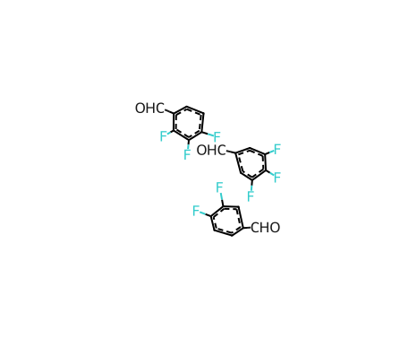 O=Cc1cc(F)c(F)c(F)c1.O=Cc1ccc(F)c(F)c1.O=Cc1ccc(F)c(F)c1F